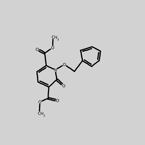 COC(=O)c1ccc(C(=O)OC)n(OCc2ccccc2)c1=O